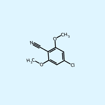 COc1cc(Cl)cc(OC)c1C#N